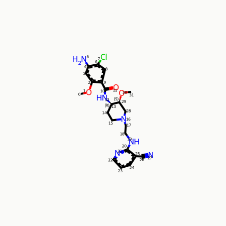 COc1cc(N)c(Cl)cc1C(=O)N[C@@H]1CCN(CCNc2ncccc2C#N)C[C@@H]1OC